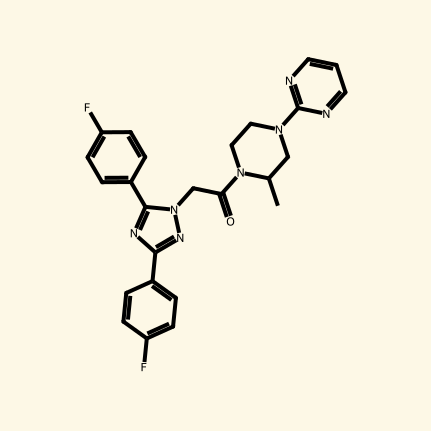 CC1CN(c2ncccn2)CCN1C(=O)Cn1nc(-c2ccc(F)cc2)nc1-c1ccc(F)cc1